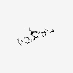 Clc1cnc(Oc2ccc3c(nnn3CC3CC3)c2Br)c(CN2CCN(c3ncccn3)CC2)c1